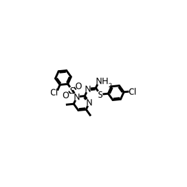 CC1=CC(C)N(S(=O)(=O)c2ccccc2Cl)C(N=C(N)Sc2ccc(Cl)cc2)=N1